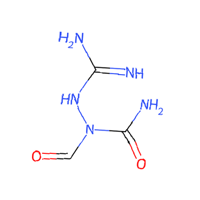 N=C(N)NN(C=O)C(N)=O